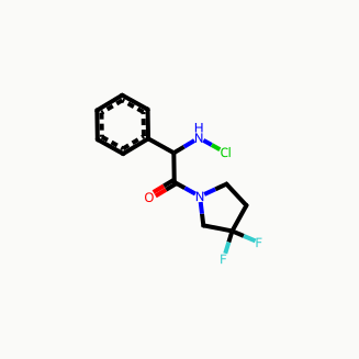 O=C(C(NCl)c1ccccc1)N1CCC(F)(F)C1